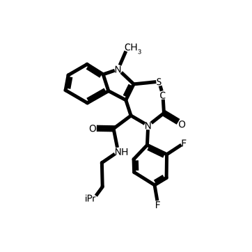 CC(C)CCNC(=O)C1c2c(n(C)c3ccccc23)SCC(=O)N1c1ccc(F)cc1F